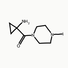 NC1(C(=O)N2CCN(I)CC2)CC1